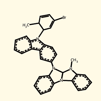 CC1C=CC(Br)=CC1n1c2ccccc2c2cc(N3c4ccccc4N4c5ccccc5N(C)C34)ccc21